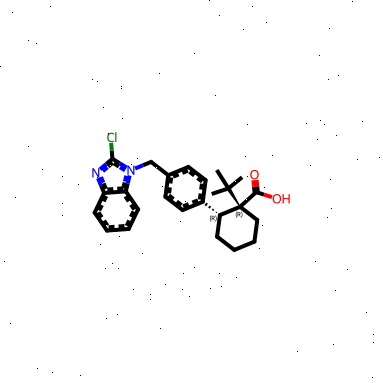 CC(C)(C)[C@@]1(C(=O)O)CCCC[C@@H]1c1ccc(Cn2c(Cl)nc3ccccc32)cc1